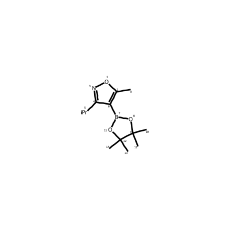 Cc1onc(C(C)C)c1B1OC(C)(C)C(C)(C)O1